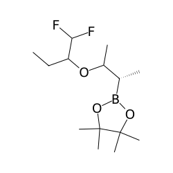 CCC(OC(C)[C@H](C)B1OC(C)(C)C(C)(C)O1)C(F)F